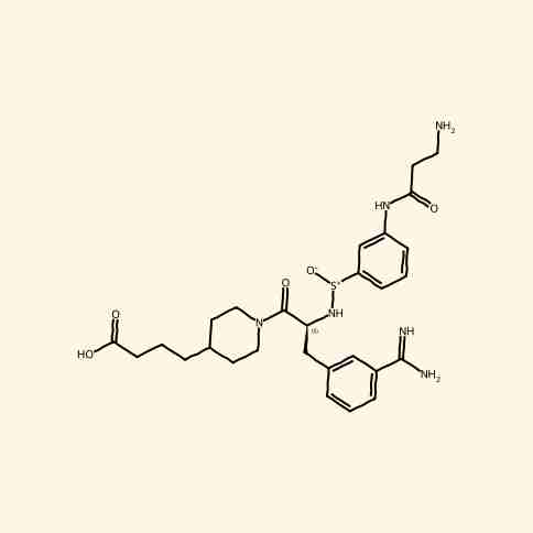 N=C(N)c1cccc(C[C@H](N[S+]([O-])c2cccc(NC(=O)CCN)c2)C(=O)N2CCC(CCCC(=O)O)CC2)c1